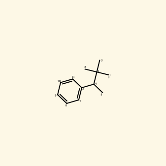 [CH2]C(C)(C)C(C)c1ccccc1